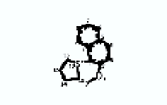 COc1ccc2ccccc2c1[S+]1CCCC1